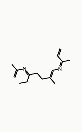 C=C/C(C)=N\C=C(/C)CC/C(CC)=N/C(=C)C